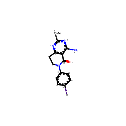 COc1nc(N)c2c(n1)CCN(c1ccc(I)cc1)C2=O